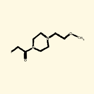 COCCN1CCN(C(=O)CI)CC1